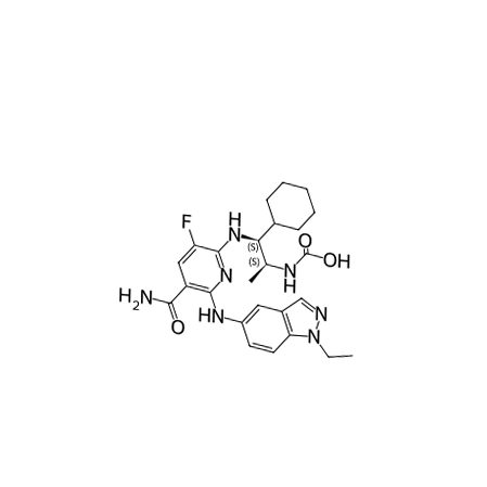 CCn1ncc2cc(Nc3nc(N[C@@H](C4CCCCC4)[C@H](C)NC(=O)O)c(F)cc3C(N)=O)ccc21